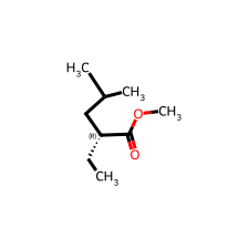 CC[C@H](CC(C)C)C(=O)OC